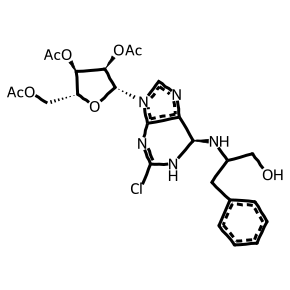 CC(=O)OC[C@H]1O[C@@H](n2cnc3c2N=C(Cl)N[C@@H]3NC(CO)Cc2ccccc2)[C@H](OC(C)=O)[C@@H]1OC(C)=O